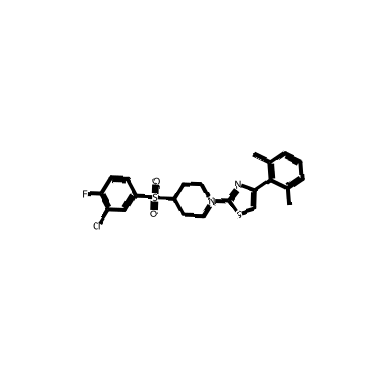 Cc1cccc(C)c1-c1csc(N2CCC(S(=O)(=O)c3ccc(F)c(Cl)c3)CC2)n1